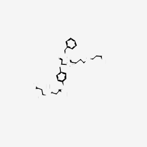 CC(C)CCOCCCC(=O)N[C@@H](Cc1ccc(OC(C)(C)CCOC(C)CC(=O)O)cc1)C(=O)OCc1ccccc1